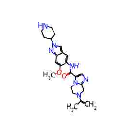 C=C(C)N1CCn2c(C(=O)Nc3cc4cn(C5CCNCC5)nc4cc3OC)cnc2C1